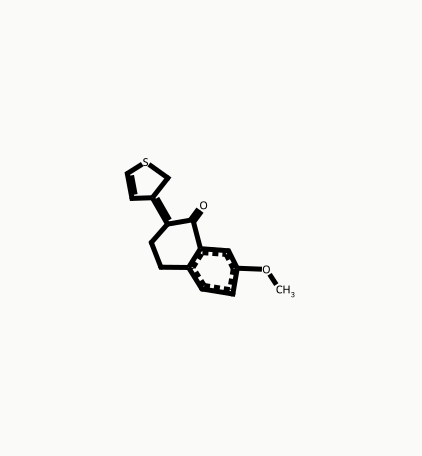 COc1ccc2c(c1)C(=O)/C(=C1/C=CSC1)CC2